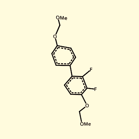 COCOc1ccc(-c2ccc(OCOC)c(F)c2F)cc1